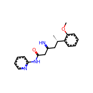 COc1ccccc1[C@@H](C)CC(=N)CC(=O)Nc1ccccn1